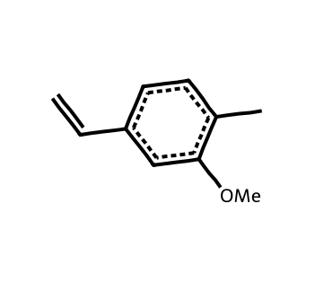 C=Cc1ccc(C)c(OC)c1